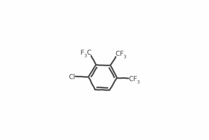 FC(F)(F)c1ccc(Cl)c(C(F)(F)F)c1C(F)(F)F